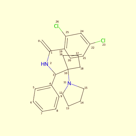 C=C(NC(c1ccccc1)C1(N2CCCC2)CCC1)c1ccc(Cl)cc1Cl